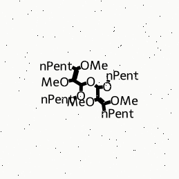 CCCCCOC(OC(OCCCCC)C(OC)=C(CCCCC)OC)C(OC)=C(CCCCC)OC